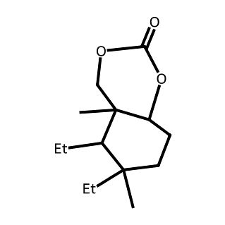 CCC1C(C)(CC)CCC2OC(=O)OCC21C